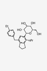 CCCc1c([C@@H]2O[C@H](CO)[C@@H](O)[C@H](O)[C@H]2O)cc(Cc2ccc(CC)cc2)c2c1CCC2